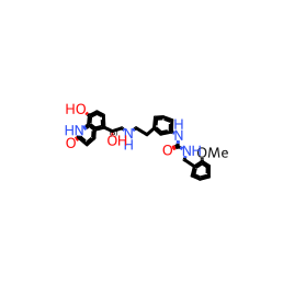 COc1ccccc1CNC(=O)Nc1cccc(CCNC[C@@H](O)c2ccc(O)c3[nH]c(=O)ccc23)c1